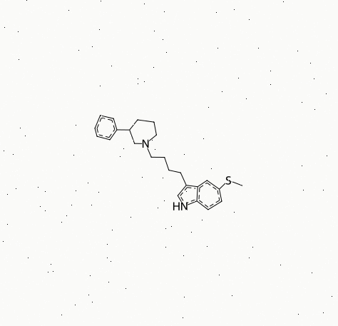 CSc1ccc2[nH]cc(CCCCN3CCCC(c4ccccc4)C3)c2c1